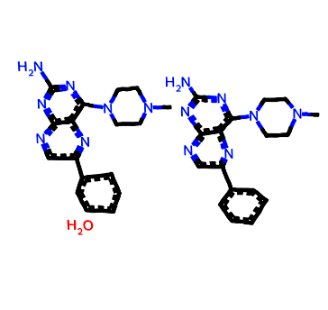 CN1CCN(c2nc(N)nc3ncc(-c4ccccc4)nc23)CC1.CN1CCN(c2nc(N)nc3ncc(-c4ccccc4)nc23)CC1.O